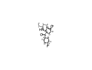 CCC1CCn2c(c(C(=O)c3ccc(F)cc3)ccc2=O)N1